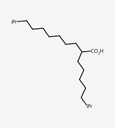 CC(C)CCCCCCCC(CCCCCC(C)C)C(=O)O